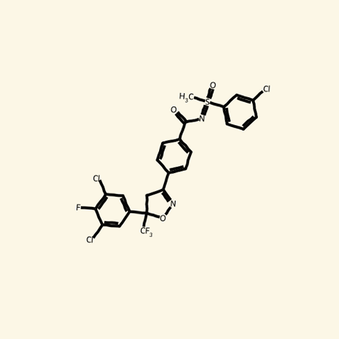 CS(=O)(=NC(=O)c1ccc(C2=NOC(c3cc(Cl)c(F)c(Cl)c3)(C(F)(F)F)C2)cc1)c1cccc(Cl)c1